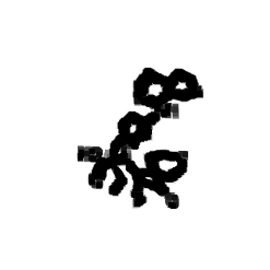 CC[C@@](Cc1ccc(Nc2nccc3ccncc23)cc1)(NC1=C(SC)C(=O)C12CCOCC2)C(=O)O